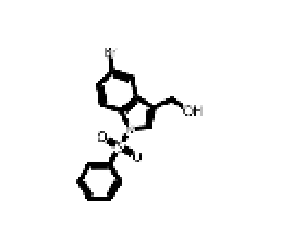 O=S(=O)(c1ccccc1)n1cc(CO)c2cc(Br)ccc21